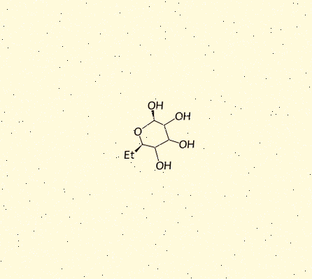 CC[C@H]1O[C@@H](O)C(O)C(O)C1O